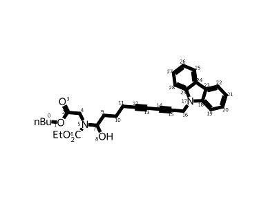 CCCCOC(=O)CN(C(=O)OCC)C(O)CCCC#CC#CCn1c2ccccc2c2ccccc21